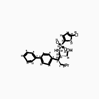 CC(C)C[C@@H](c1ccc(-c2ccccc2)cc1)[C@@H](CO)NS(=O)(=O)c1ccc(Cl)s1